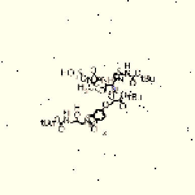 C[n+]1c2ccc(OCC(O/N=C(\C(=O)N[C@@H]3C(=O)N(OS(=O)(=O)O)C3(C)C)c3csc(NC(=O)OC(C)(C)C)n3)C(=O)OC(C)(C)C)cc2cn1CC(O)CNC(=O)OC(C)(C)C